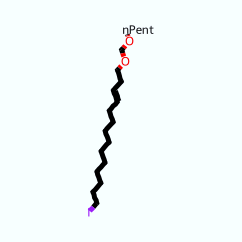 CCCCCOCOCCC=CCCCCCCCCCCI